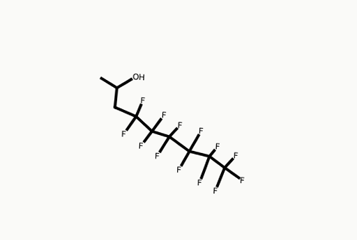 CC(O)CC(F)(F)C(F)(F)C(F)(F)C(F)(F)C(F)(F)C(F)(F)F